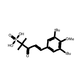 COc1c(C(C)(C)C)cc(C=CC(=O)C(C)(C)P(=O)(O)O)cc1C(C)(C)C